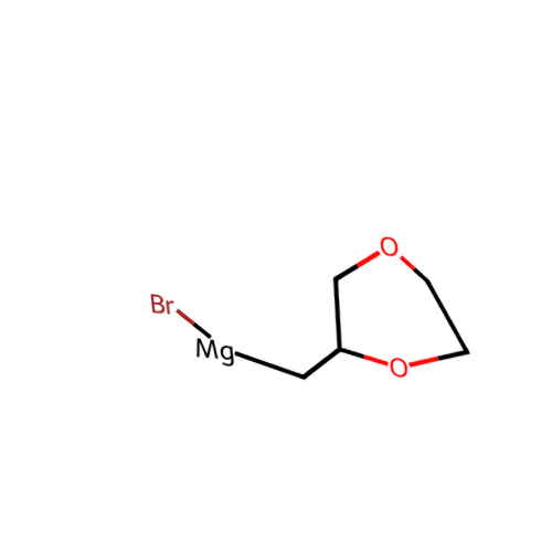 [Br][Mg][CH2]C1COCCO1